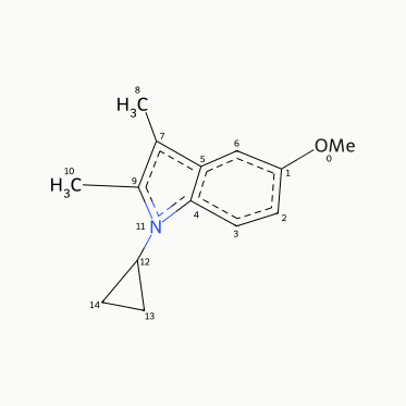 COc1ccc2c(c1)c(C)c(C)n2C1CC1